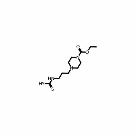 CCOC(=O)N1CCN(CCCNC(=S)S)CC1